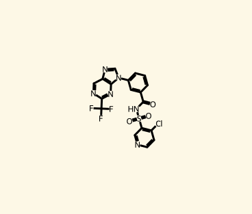 O=C(NS(=O)(=O)c1cnccc1Cl)c1cccc(-n2cnc3cnc(C(F)(F)F)nc32)c1